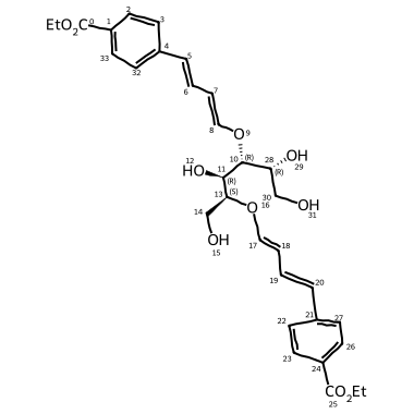 CCOC(=O)c1ccc(C=CC=CO[C@@H]([C@H](O)[C@H](CO)OC=CC=Cc2ccc(C(=O)OCC)cc2)[C@H](O)CO)cc1